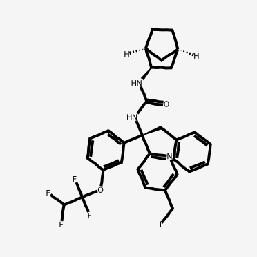 O=C(N[C@@H]1C[C@@H]2CC[C@H]1C2)N[C@@](Cc1ccccc1)(c1cccc(OC(F)(F)C(F)F)c1)c1ccc(CI)cn1